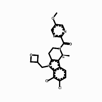 COc1cnc(C(=O)N2CCc3c(c4ccc(Cl)c(Cl)c4n3CC3COC3)[C@@H]2C)nc1